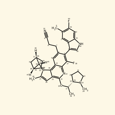 Cc1cc2c(-c3c(CCC#N)cc4c(nc(OC(C)[C@@H]5CCCN5C)c5cc(C)n([C@H]6[C@H]7CN[C@@H]6C7)c54)c3F)c[nH]c2cc1F